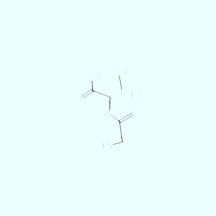 C[C@H](N)C(=O)N[C@@H](CS)C(=O)O.O